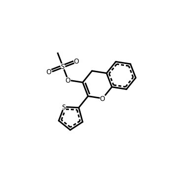 CS(=O)(=O)OC1=C(c2cccs2)Oc2ccccc2C1